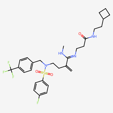 C=C(CCN(Cc1ccc(C(F)(F)F)cc1)S(=O)(=O)c1ccc(F)cc1)/C(=N/CCC(=O)NCCC1CCC1)NC